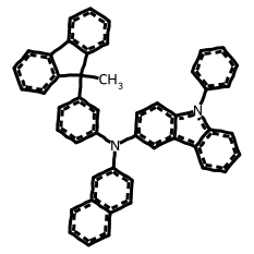 CC1(c2cccc(N(c3ccc4ccccc4c3)c3ccc4c(c3)c3ccccc3n4-c3ccccc3)c2)c2ccccc2-c2ccccc21